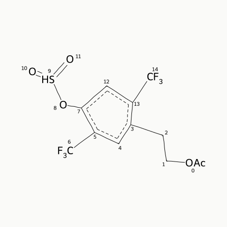 CC(=O)OCCc1cc(C(F)(F)F)c(O[SH](=O)=O)cc1C(F)(F)F